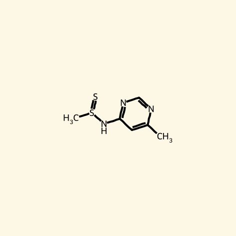 Cc1cc(NS(C)=S)ncn1